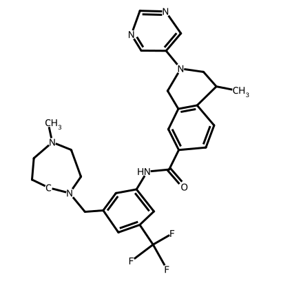 CC1CN(c2cncnc2)Cc2cc(C(=O)Nc3cc(CN4CCCN(C)CC4)cc(C(F)(F)F)c3)ccc21